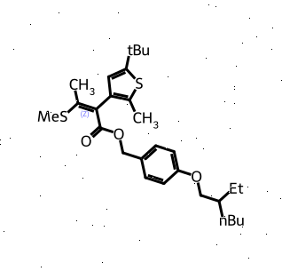 CCCCC(CC)COc1ccc(COC(=O)/C(=C(/C)SC)c2cc(C(C)(C)C)sc2C)cc1